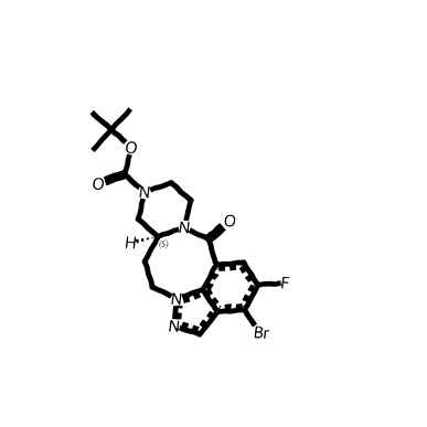 CC(C)(C)OC(=O)N1CCN2C(=O)c3cc(F)c(Br)c4cnn(c34)CC[C@H]2C1